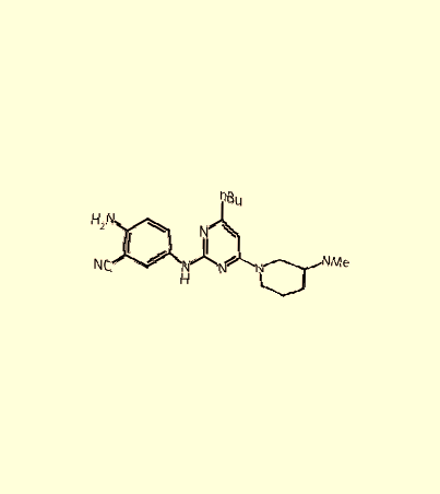 CCCCc1cc(N2CCCC(NC)C2)nc(Nc2ccc(N)c(C#N)c2)n1